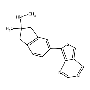 CNC1(C)Cc2ccc(-c3scc4cncnc34)cc2C1